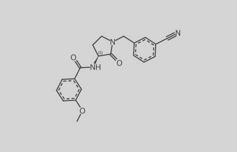 COc1cccc(C(=O)N[C@H]2CCN(Cc3cccc(C#N)c3)C2=O)c1